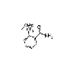 COC(C)=O.NC(=O)c1ccccc1C(F)(F)F